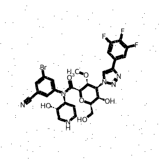 CO[C@@H]1[C@@H](n2cc(-c3cc(F)c(F)c(F)c3)nn2)[C@@H](O)[C@@H](CO)O[C@H]1C(=O)N(c1cc(Br)cc(C#N)c1)[C@H]1CCNC[C@@H]1O